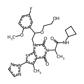 COc1ccc(F)cc1C(Cn1c(=O)n(C(C)C(=O)NC2CCC2)c(=O)c2c(C)c(-n3nccn3)sc21)OCCO